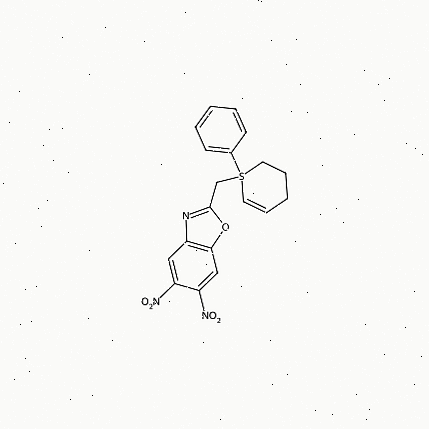 O=[N+]([O-])c1cc2nc(CS3(c4ccccc4)C=CCCC3)oc2cc1[N+](=O)[O-]